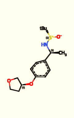 C[C@H](N[S@+]([O-])C(C)(C)C)c1ccc(O[C@H]2CCOC2)cc1